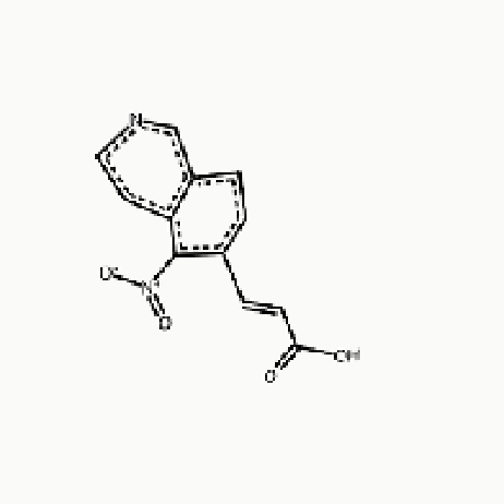 O=C(O)/C=C/c1ccc2cnccc2c1[N+](=O)[O-]